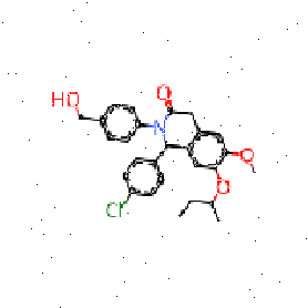 CCC(C)Oc1cc2c(cc1OC)CC(=O)N(c1ccc(CO)cc1)C2c1ccc(Cl)cc1